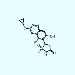 O=C1CN(c2c(O)cc3nnc(OC4CC4)cc3c2F)S(=O)(=O)N1